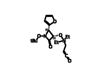 CC[Si](CC)(CC=C=O)O[C@@H]1C(=O)N(OC(C)(C)C)[C@@H]1c1ccco1